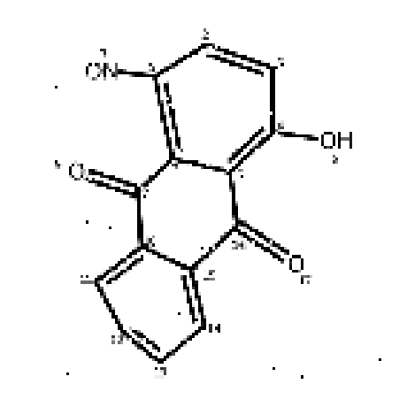 O=Nc1ccc(O)c2c1C(=O)c1ccccc1C2=O